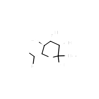 CCCCCCC1(O)O[C@H](C(O)Br)[C@@H](O)[C@H](O)[C@@H]1O